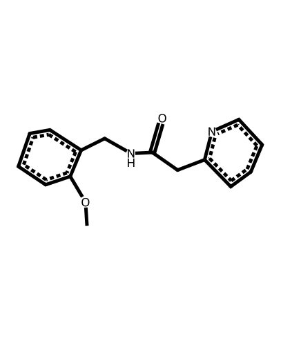 COc1ccccc1CNC(=O)Cc1ccccn1